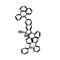 CC(C)(C)C1(C(C)(C)C)c2cc3cc(N(c4ccccc4)c4ccccc4-c4ccccc4)ccc3cc2-c2c1c1ccc(N(c3ccccc3)c3ccccc3-c3ccccc3)cc1c1ccccc21